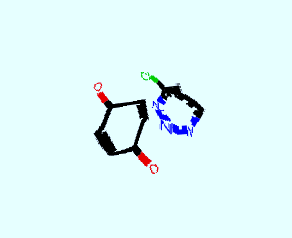 Clc1ccnnn1.O=C1C=CC(=O)C=C1